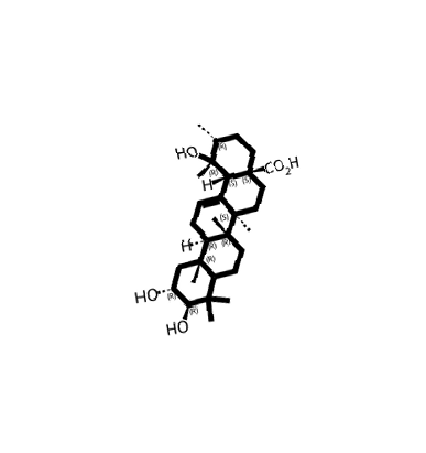 C[C@@H]1CC[C@]2(C(=O)O)CC[C@]3(C)C(=CC[C@@H]4[C@@]5(C)C[C@@H](O)[C@H](O)C(C)(C)C5CC[C@]43C)[C@@H]2[C@]1(C)O